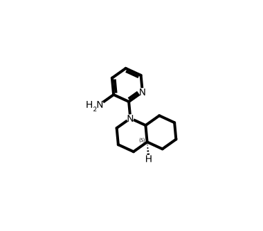 Nc1cccnc1N1CCC[C@@H]2CCCCC21